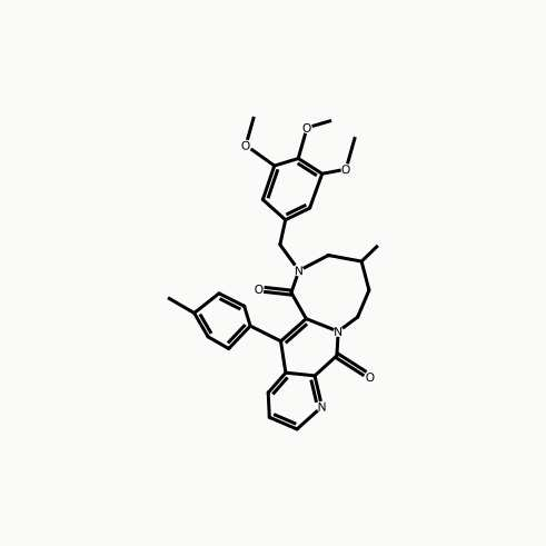 COc1cc(CN2CC(C)CCn3c(c(-c4ccc(C)cc4)c4cccnc4c3=O)C2=O)cc(OC)c1OC